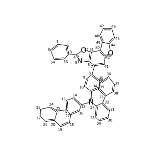 c1ccc(-c2nc3c(-c4ccc(N(c5ccc6c(ccc7ccccc76)c5)c5ccccc5-c5ccccc5)cc4)cc4oc5ccccc5c4c3o2)cc1